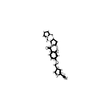 C[C@@H]1CCCN1C[C@@H]1CCCN1C(=O)c1ccc(OCC2C=C(C#N)SC2)cc1F